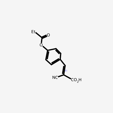 CCC(=O)Oc1ccc(/C=C(\C#N)C(=O)O)cc1